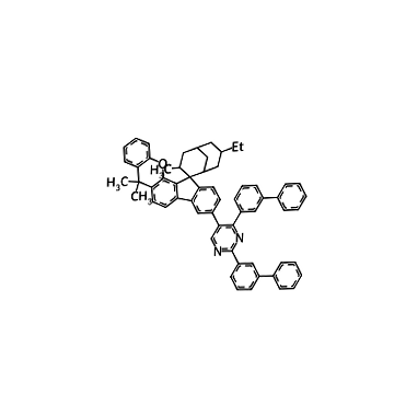 CCC1CC2CC(C)C3(c4ccc(-c5cnc(-c6cccc(-c7ccccc7)c6)nc5-c5cccc(-c6ccccc6)c5)cc4-c4ccc5c(c43)Oc3ccccc3C5(C)C)C(C1)C2